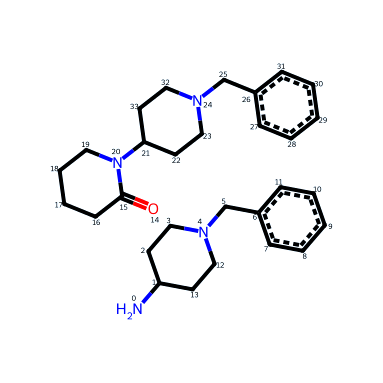 NC1CCN(Cc2ccccc2)CC1.O=C1CCCCN1C1CCN(Cc2ccccc2)CC1